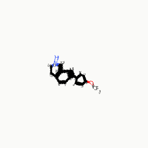 FC(F)(F)Oc1ccc(-c2ccc3c(c2)CNCC3)cc1